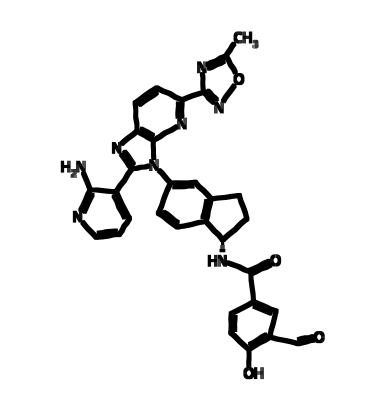 Cc1nc(-c2ccc3nc(-c4cccnc4N)n(-c4ccc5c(c4)CC[C@@H]5NC(=O)c4ccc(O)c(C=O)c4)c3n2)no1